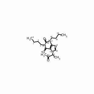 CCCCn1c(=O)c2c(ncn2C(C)C(C)=O)n(CCCC)c1=O